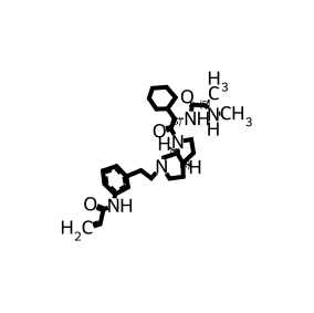 C=CC(=O)Nc1cccc(CCN2CC[C@@H]3CCN(C(=O)[C@@H](NC(=O)[C@H](C)NC)C4CCCCC4)[C@@H]3C2)c1